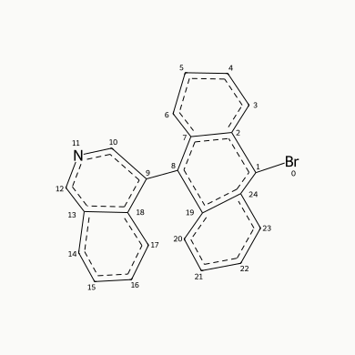 Brc1c2ccccc2c(-c2cncc3ccccc23)c2ccccc12